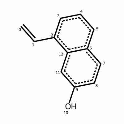 C=Cc1cccc2ccc(O)cc12